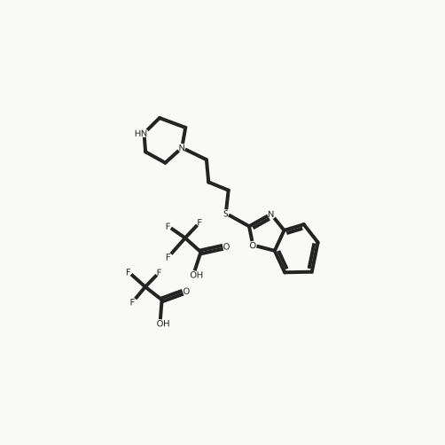 O=C(O)C(F)(F)F.O=C(O)C(F)(F)F.c1ccc2oc(SCCCN3CCNCC3)nc2c1